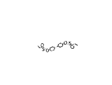 C=CC(=O)SCOc1ccc(-c2ccc(OCSC(=O)C=C)cc2)cc1